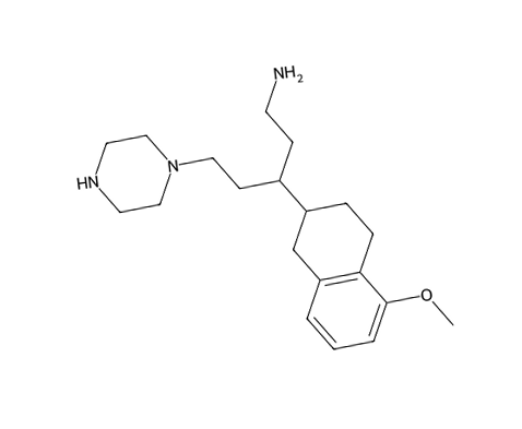 COc1cccc2c1CCC(C(CCN)CCN1CCNCC1)C2